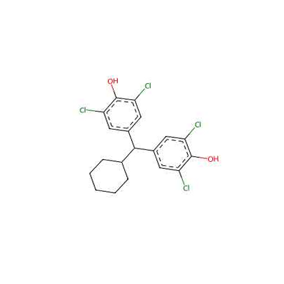 Oc1c(Cl)cc(C(c2cc(Cl)c(O)c(Cl)c2)C2CCCCC2)cc1Cl